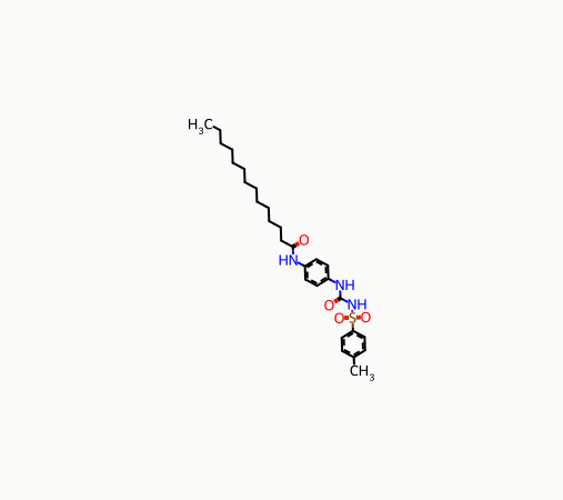 CCCCCCCCCCCCCC(=O)Nc1ccc(NC(=O)NS(=O)(=O)c2ccc(C)cc2)cc1